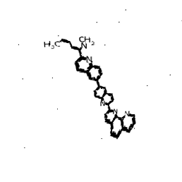 C=N/C(=C\C=C/C)c1ccc2cc(-c3ccc4nc(-c5ccc6ccc7cccnc7c6n5)ccc4c3)ccc2n1